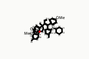 C=CC(=C(c1ccc(OC)cc1)c1ccc(C)cc1NC1CCCCC1)C(C)(CCC1OC(=O)c2cc(C)ccc21)c1ccc(OC)cc1